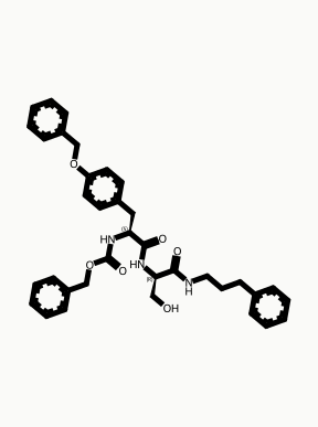 O=C(N[C@@H](Cc1ccc(OCc2ccccc2)cc1)C(=O)N[C@H](CO)C(=O)NCCCc1ccccc1)OCc1ccccc1